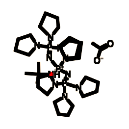 CC(=O)[O-].CC(C)(C)N[P+](N=P(N1CCCC1)(N1CCCC1)N1CCCC1)(N=P(N1CCCC1)(N1CCCC1)N1CCCC1)N1CCCC1